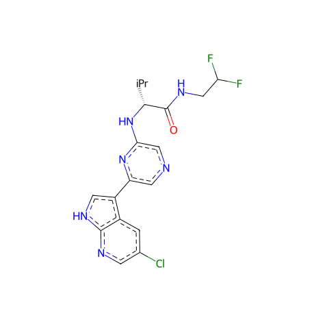 CC(C)[C@@H](Nc1cncc(-c2c[nH]c3ncc(Cl)cc23)n1)C(=O)NCC(F)F